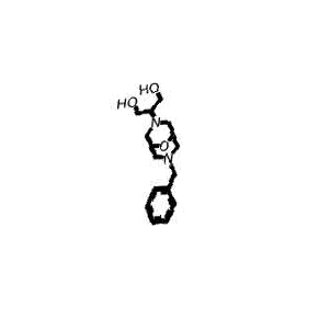 OCC(CO)N1CC2CN(Cc3ccccc3)CC(C1)O2